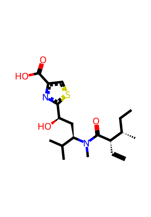 C=C[C@H](C(=O)N(C)[C@H](C[C@@H](O)c1nc(C(=O)O)cs1)C(C)C)[C@@H](C)CC